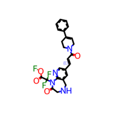 O=C(/C=C/c1cnc2c(c1)CNCC(=O)N2C(F)(F)C(=O)OF)N1CC=C(c2ccccc2)CC1